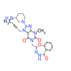 CC#CCn1c(N2CCCC(N)C2)nc2c1c(=O)n(CC1=NNC(=O)c3ccccc3O1)c(=O)n2C